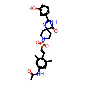 CC(=O)Nc1cc(C)c(/C=C/S(=O)(=O)N2CCC3(CC2)N=C(c2cccc(O)c2)NC3=O)c(C)c1